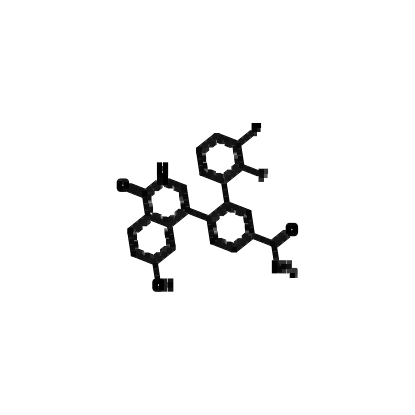 NC(=O)c1ccc(-c2c[nH]c(=O)c3ccc(O)cc23)c(-c2cccc(F)c2F)c1